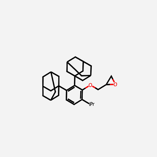 CC(C)c1ccc(C23CC4CC(CC(C4)C2)C3)c(C23CC4CC(CC(C4)C2)C3)c1OCC1CO1